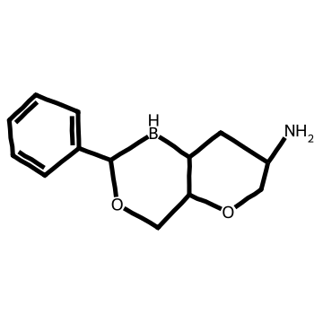 NC1COC2COC(c3ccccc3)BC2C1